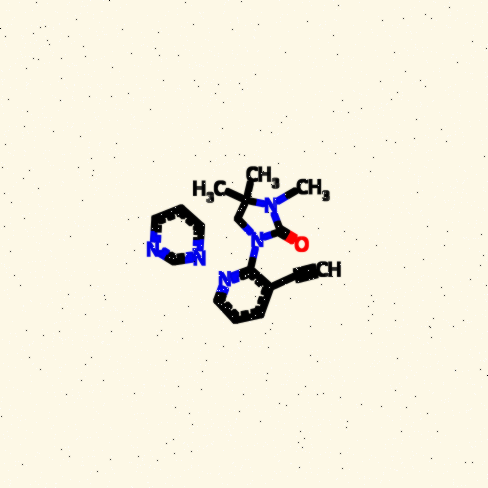 C#Cc1cccnc1N1CC(C)(C)N(C)C1=O.c1cncnc1